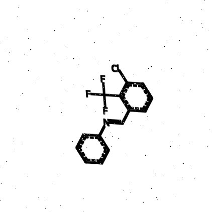 FC(F)(F)c1c(Cl)cccc1C=Nc1ccccc1